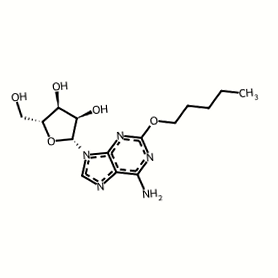 CCCCCOc1nc(N)c2ncn([C@@H]3O[C@H](CO)[C@@H](O)[C@H]3O)c2n1